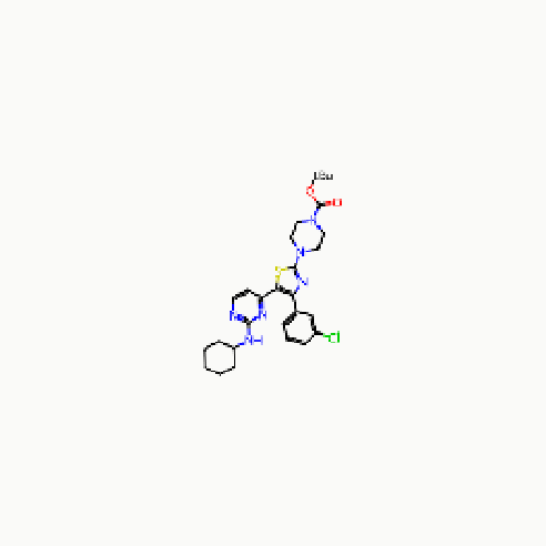 CC(C)(C)OC(=O)N1CCN(c2nc(-c3cccc(Cl)c3)c(-c3ccnc(NC4CCCCC4)n3)s2)CC1